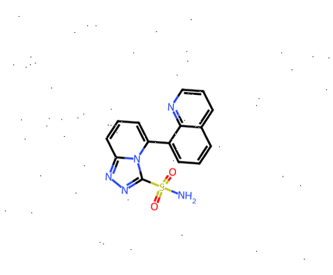 NS(=O)(=O)c1nnc2cccc(-c3cccc4cccnc34)n12